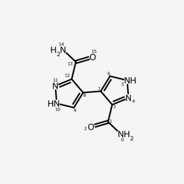 NC(=O)c1n[nH]cc1-c1c[nH]nc1C(N)=O